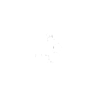 CC(C)N1CCC[C@H]1CN